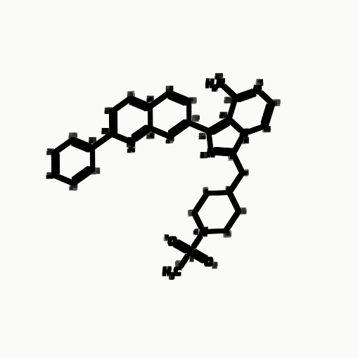 CS(=O)(=O)N1CCC(Cc2nc(-c3ccc4ccc(-c5ccccc5)nc4c3)c3c(N)nccn23)CC1